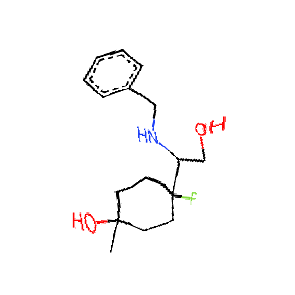 CC1(O)CCC(F)(C(CO)NCc2ccccc2)CC1